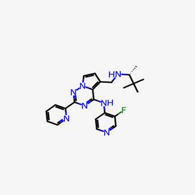 C[C@@H](NCc1ccn2nc(-c3ccccn3)nc(Nc3ccncc3F)c12)C(C)(C)C